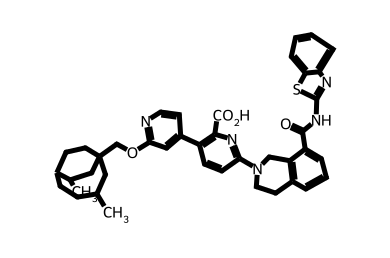 CC1CCC2CCC(COc3cc(-c4ccc(N5CCc6cccc(C(=O)Nc7nc8ccccc8s7)c6C5)nc4C(=O)O)ccn3)(C1)CC2C